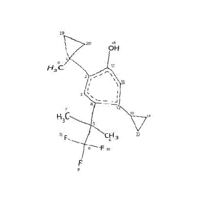 CC1(c2cc(C(C)(C)C(F)(F)F)c(C3CC3)cc2O)CC1